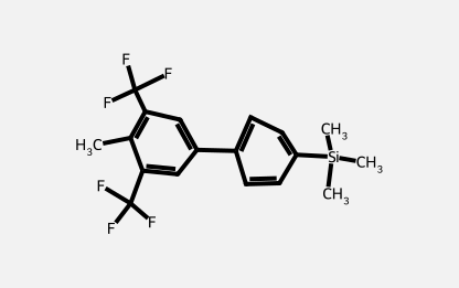 Cc1c(C(F)(F)F)cc(-c2ccc([Si](C)(C)C)cc2)cc1C(F)(F)F